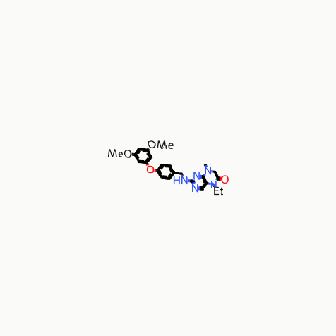 CCN1C(=O)CN(C)c2nc(NCc3ccc(Oc4cc(OC)cc(OC)c4)cc3)ncc21